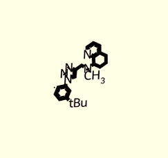 CN(Cc1cn(-c2[c]ccc(C(C)(C)C)c2)nn1)C1CCCc2cccnc21